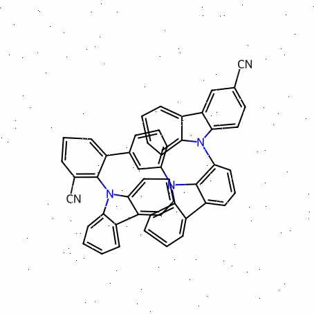 N#Cc1ccc2c(c1)c1ccccc1n2-c1cccc2c3ccccc3n(-c3cccc(-c4cccc(C#N)c4-n4c5ccccc5c5ccccc54)c3)c12